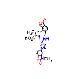 CC(CCc1c(CCNCc2cnn(-c3ccc4oc(=O)n(C)c4c3)c2)ccc2c1COC2=O)[C@@H](N)C(=O)O